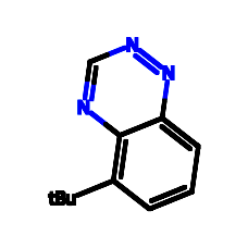 CC(C)(C)c1cccc2nncnc12